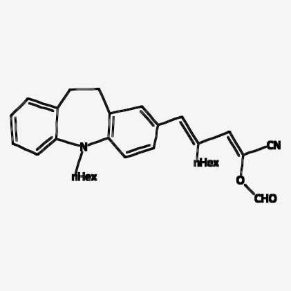 CCCCCCC(/C=C(/C#N)OC=O)=C\c1ccc2c(c1)CCc1ccccc1N2CCCCCC